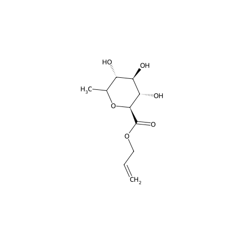 C=CCOC(=O)[C@H]1OC(C)[C@H](O)[C@@H](O)[C@@H]1O